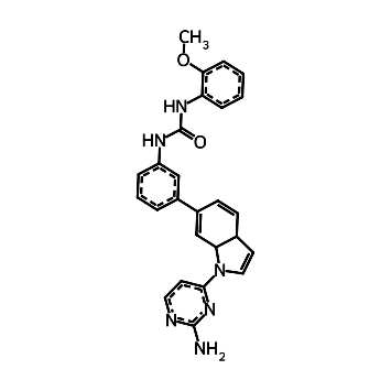 COc1ccccc1NC(=O)Nc1cccc(C2=CC3C(C=C2)C=CN3c2ccnc(N)n2)c1